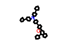 c1ccc(-c2ccc(N(c3ccc(-c4ccccc4)cc3)c3ccc(-c4ccc5c(c4)oc4c(-c6ccccc6)c6ccccc6cc45)cc3)cc2)cc1